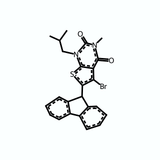 CC(C)Cn1c(=O)n(C)c(=O)c2c(Br)c(C3c4ccccc4-c4ccccc43)sc21